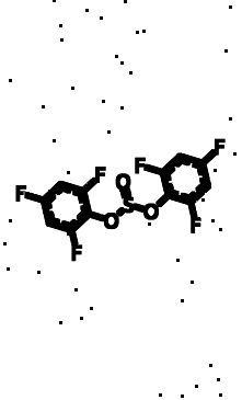 O=S(Oc1c(F)cc(F)cc1F)Oc1c(F)cc(F)cc1F